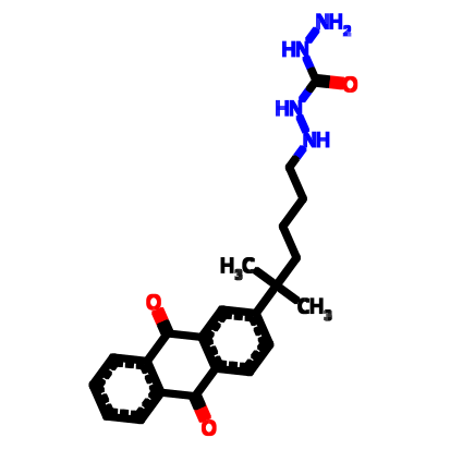 CC(C)(CCCCNNC(=O)NN)c1ccc2c(c1)C(=O)c1ccccc1C2=O